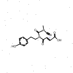 CN(C#N)C(=O)N(CCc1ccc(O)cc1)C(=O)/C=C/C(=O)O